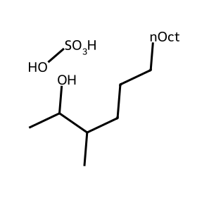 CCCCCCCCCCCC(C)C(C)O.O=S(=O)(O)O